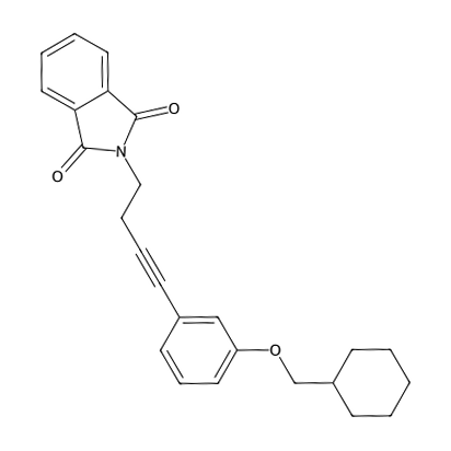 O=C1c2ccccc2C(=O)N1CCC#Cc1cccc(OCC2CCCCC2)c1